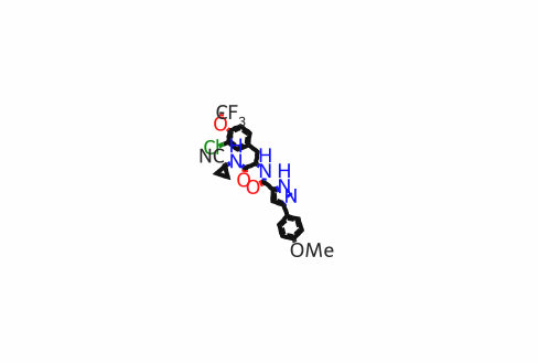 COc1ccc(-c2cc(C(=O)NC(Cc3ccc(OC(F)(F)F)c(Cl)c3)C(=O)NC3(C#N)CC3)[nH]n2)cc1